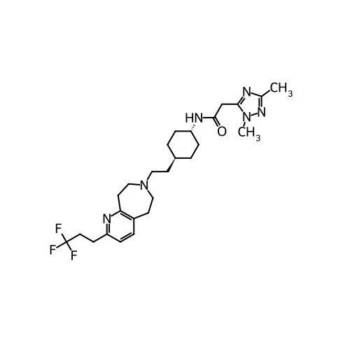 Cc1nc(CC(=O)N[C@H]2CC[C@H](CCN3CCc4ccc(CCC(F)(F)F)nc4CC3)CC2)n(C)n1